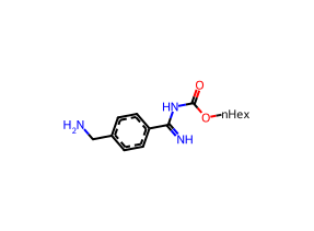 CCCCCCOC(=O)NC(=N)c1ccc(CN)cc1